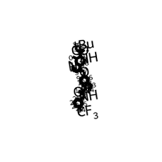 CC1c2nccc(Oc3ccc4c(ccn4C(=O)Nc4cccc(C(F)(F)F)c4)c3)c2CNC1C(=O)OC(C)(C)C